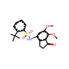 COc1cc(NS(=O)(=O)c2ccccc2C(C)(C)C)c2c(c1OC)C(=O)CC2